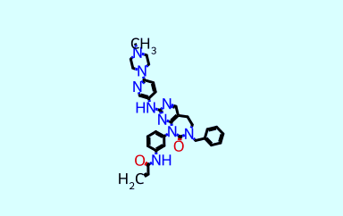 C=CC(=O)Nc1cccc(N2C(=O)N(Cc3ccccc3)CCc3cnc(Nc4ccc(N5CCN(C)CC5)nc4)nc32)c1